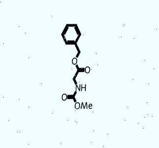 [CH2]OC(=O)NCC(=O)OCc1ccccc1